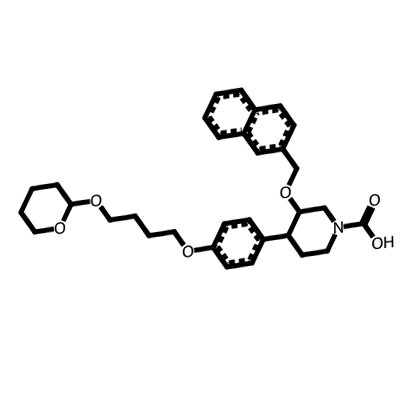 O=C(O)N1CCC(c2ccc(OCCCCOC3CCCCO3)cc2)C(OCc2ccc3ccccc3c2)C1